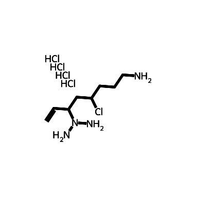 C=CC(CC(Cl)CCCN)N(N)N.Cl.Cl.Cl.Cl